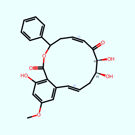 COc1cc(O)c2c(c1)/C=C/C[C@H](O)[C@H](O)C(=O)/C=C\CC(c1ccccc1)OC2=O